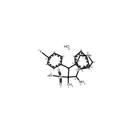 CCCS(=O)(=O)C(C)(C(c1ccc(F)cc1)c1ccccn1)C(N)N1CCNCC1.Cl